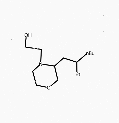 CCCCC(CC)CC1COCCN1CCO